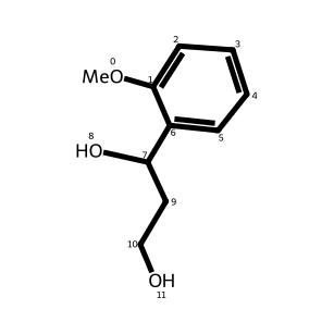 COc1ccccc1C(O)CCO